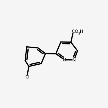 O=C(O)c1cnnc(-c2cccc(Cl)c2)c1